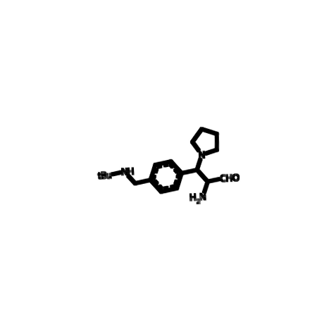 CC(C)(C)NCc1ccc(C(C(N)C=O)N2CCCC2)cc1